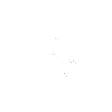 CC(C)(C)c1cncc2c1ccn2C(C)(C)c1c[nH]c2cnccc12